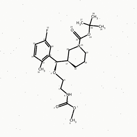 COC(=O)NCCO[C@@H](c1cc(F)ccc1C)[C@@H]1CCCN(C(=O)OC(C)(C)C)C1